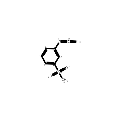 CS(=O)(=O)c1cccc(N=C=S)c1